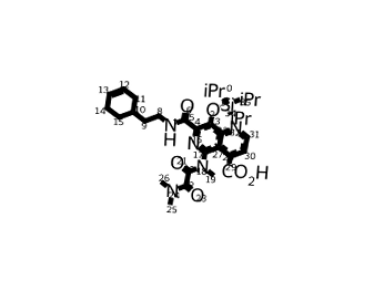 CC(C)[Si](Oc1c(C(=O)NCCC2CC=CCC2)nc(N(C)C(=O)C(=O)N(C)C)c2c(C(=O)O)ccnc12)(C(C)C)C(C)C